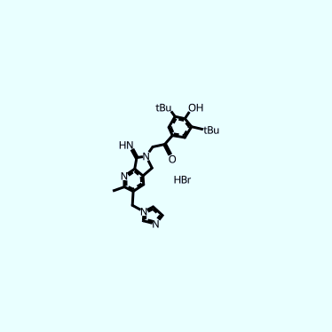 Br.Cc1nc2c(cc1Cn1ccnc1)CN(CC(=O)c1cc(C(C)(C)C)c(O)c(C(C)(C)C)c1)C2=N